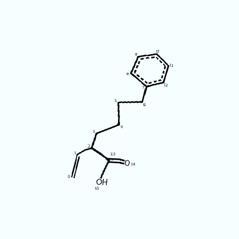 C=CC(CCCCc1ccccc1)C(=O)O